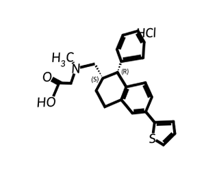 CN(CC(=O)O)C[C@H]1CCc2cc(-c3cccs3)ccc2[C@H]1c1ccccc1.Cl